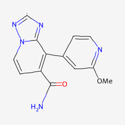 COc1cc(-c2c(C(N)=O)ccn3n[c]nc23)ccn1